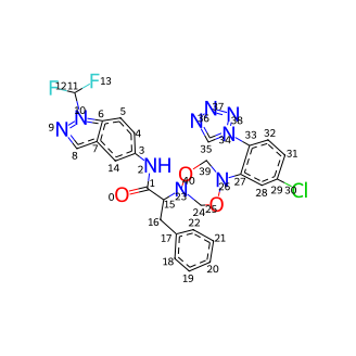 O=C(Nc1ccc2c(cnn2C(F)F)c1)C(Cc1ccccc1)N1CON(c2cc(Cl)ccc2-n2cnnn2)CO1